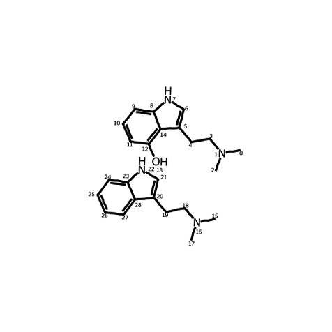 CN(C)CCc1c[nH]c2cccc(O)c12.CN(C)CCc1c[nH]c2ccccc12